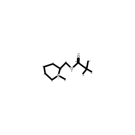 CN1CCCCC1COC(=O)C(C)(C)C